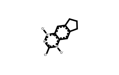 [O-][n+]1nc(Cl)[n+]([O-])c2cc3c(cc21)CCC3